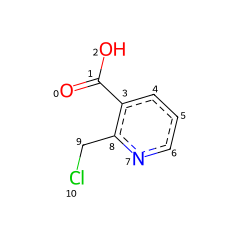 O=C(O)c1cccnc1CCl